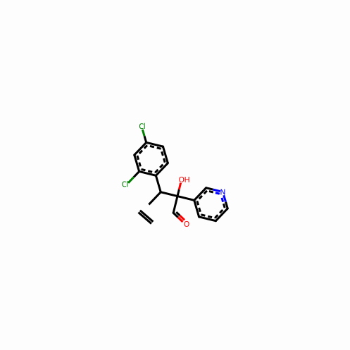 C=C.CC(c1ccc(Cl)cc1Cl)C(O)(C=O)c1cccnc1